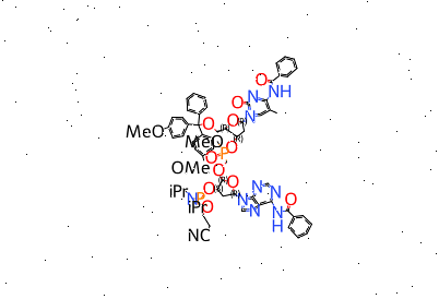 COc1ccc(C(OC[C@H]2O[C@@H](n3cc(C)c(NC(=O)c4ccccc4)nc3=O)C[C@H]2OP(=O)(CO[C@H]2O[C@@H](n3cnc4c(NC(=O)c5ccccc5)ncnc43)C[C@@H]2OP(OCCC#N)N(C(C)C)C(C)C)OC)(c2ccccc2)c2ccc(OC)cc2)cc1